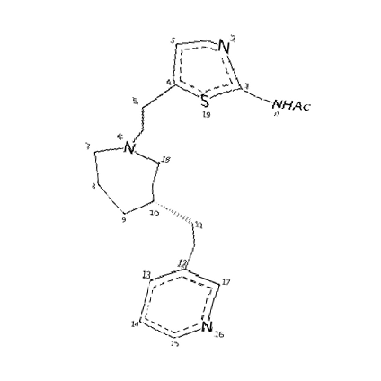 CC(=O)Nc1ncc(CN2CCC[C@@H](Cc3cccnc3)C2)s1